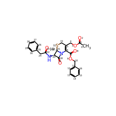 CC(=O)OCC1=C(C(=O)OCc2ccccc2)N2C(=O)[C@@H](NC(=O)Cc3ccccc3)[C@H]2SC1